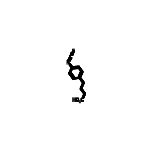 O=C(O)CCCc1ccc(N=C=S)cc1